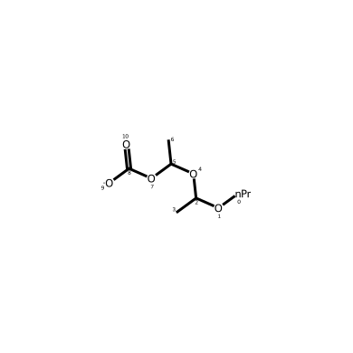 CCCOC(C)OC(C)OC([O])=O